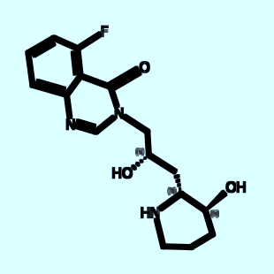 O=c1c2c(F)cccc2ncn1C[C@@H](O)C[C@H]1NCCC[C@@H]1O